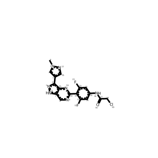 Cn1cc(-c2n[nH]c3cnc(-c4c(F)cc(NC(=O)CCl)cc4F)nc23)cn1